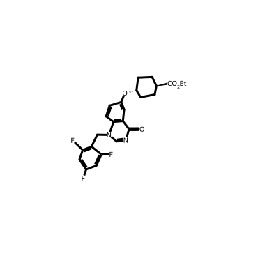 CCOC(=O)[C@H]1CC[C@H](Oc2ccc3c(c2)c(=O)ncn3Cc2c(F)cc(F)cc2F)CC1